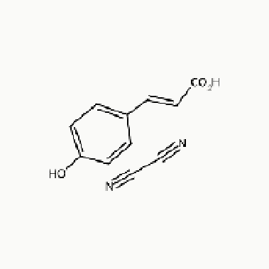 N#CC#N.O=C(O)C=Cc1ccc(O)cc1